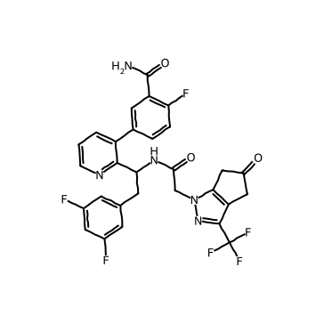 NC(=O)c1cc(-c2cccnc2C(Cc2cc(F)cc(F)c2)NC(=O)Cn2nc(C(F)(F)F)c3c2CC(=O)C3)ccc1F